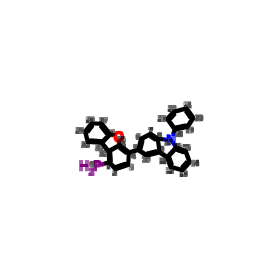 Pc1ccc(-c2ccc3c(c2)c2ccccc2n3-c2ccccc2)c2oc3ccccc3c12